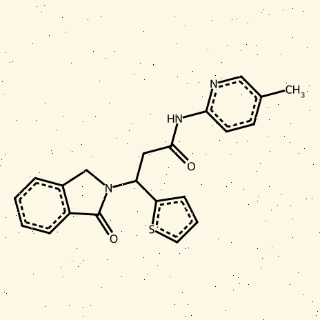 Cc1ccc(NC(=O)CC(c2cccs2)N2Cc3ccccc3C2=O)nc1